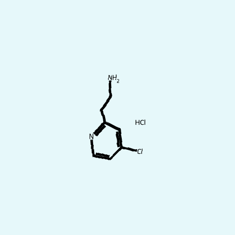 Cl.NCCc1cc(Cl)ccn1